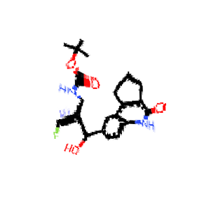 CC(C)(C)OC(=O)NC/C(=C/F)C(O)c1ccc2[nH]c(=O)c3c(c2c1)CCC3